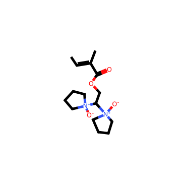 CC=C(C)C(=O)OCC([N+]1([O-])CCCC1)[N+]1([O-])CCCC1